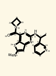 CNc1cc2nc(NC(C)c3cccnc3)nc(C(=O)N3CCC3)c2s1